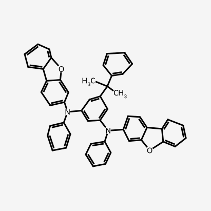 CC(C)(c1ccccc1)c1cc(N(c2ccccc2)c2ccc3c(c2)oc2ccccc23)cc(N(c2ccccc2)c2ccc3c(c2)oc2ccccc23)c1